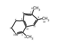 CC1=NCCc2cc(C)c(C)cc21